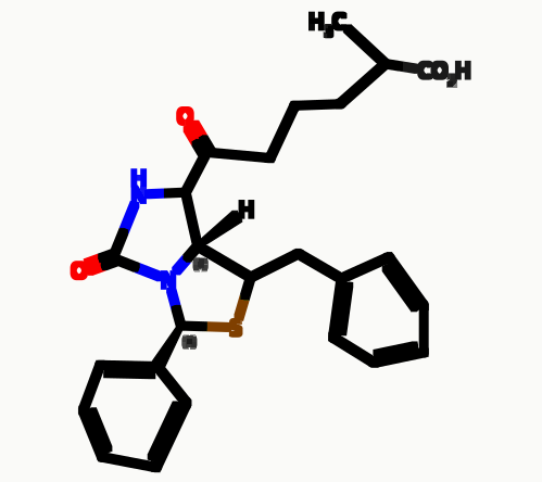 CC(CCCC(=O)C1NC(=O)N2[C@H]1C(Cc1ccccc1)S[C@H]2c1ccccc1)C(=O)O